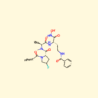 CCCCCC(=O)N1C[C@H](F)C[C@H]1C(=O)N(C)[C@H](C(=O)N[C@@H](CCNC(=O)c1ccccc1)C(=O)NO)C(C)CC